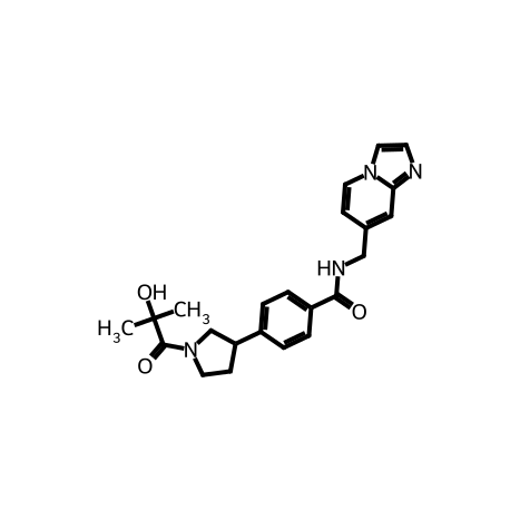 CC(C)(O)C(=O)N1CCC(c2ccc(C(=O)NCc3ccn4ccnc4c3)cc2)C1